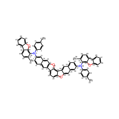 CC(C)c1ccc(N(c2ccc3cc4c(cc3c2)oc2c4ccc3oc4cc5cc(N(c6ccc(C(C)C)cc6)c6c(C(C)C)ccc7c6oc6ccccc67)ccc5cc4c32)c2c(C(C)C)ccc3c2oc2ccccc23)cc1